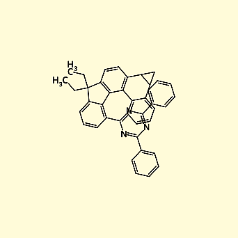 CCC1(CC)c2cccc(-c3nc(-c4ccccc4)nc(-c4ccccc4)n3)c2-c2c1ccc1c2-c2ccccc2C2CC12